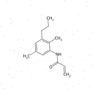 C=CC(=O)Nc1cc(C)cc(CCC)c1C